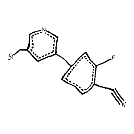 N#Cc1ccc(-c2cncc(Br)c2)cc1F